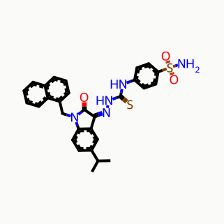 CC(C)c1ccc2c(c1)C(=NNC(=S)Nc1ccc(S(N)(=O)=O)cc1)C(=O)N2Cc1cccc2ccccc12